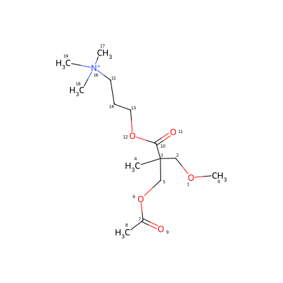 COCC(C)(COC(C)=O)C(=O)OCCC[N+](C)(C)C